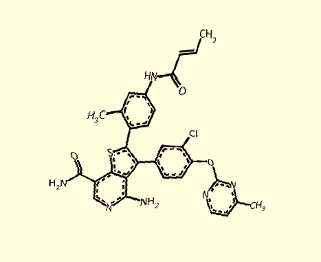 CC=CC(=O)Nc1ccc(-c2sc3c(C(N)=O)cnc(N)c3c2-c2ccc(Oc3nccc(C)n3)c(Cl)c2)c(C)c1